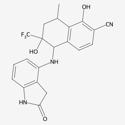 CC1CC(O)(C(F)(F)F)C(Nc2cccc3c2CC(=O)N3)c2ccc(C#N)c(O)c21